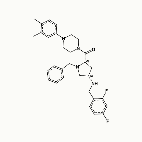 Cc1ccc(N2CCN(C(=O)[C@@H]3C[C@H](NCc4ccc(F)cc4F)CN3Cc3ccccc3)CC2)cc1C